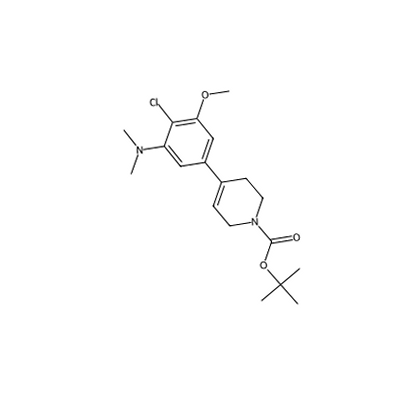 COc1cc(C2=CCN(C(=O)OC(C)(C)C)CC2)cc(N(C)C)c1Cl